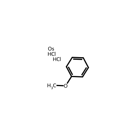 COc1ccccc1.Cl.Cl.[Os]